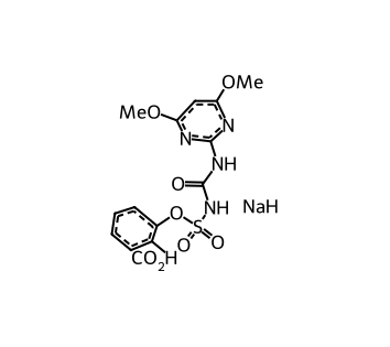 COc1cc(OC)nc(NC(=O)NS(=O)(=O)Oc2ccccc2C(=O)O)n1.[NaH]